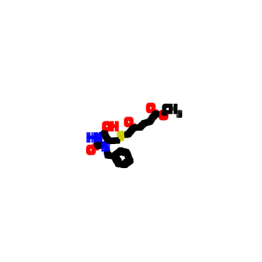 COC(=O)CCCC(=O)CSCC1C(O)NC(=O)N1Cc1ccccc1